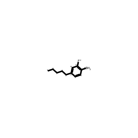 Bc1ccc(CCCCC)cc1F